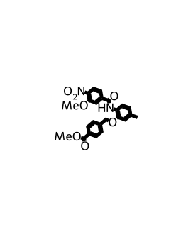 COC(=O)c1ccc(COc2cc(C)ccc2NC(=O)c2ccc([N+](=O)[O-])c(OC)c2)cc1